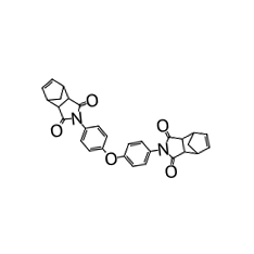 O=C1C2C3C=CC(C3)C2C(=O)N1c1ccc(Oc2ccc(N3C(=O)C4C5C=CC(C5)C4C3=O)cc2)cc1